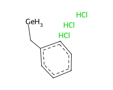 Cl.Cl.Cl.[GeH3][CH2]c1ccccc1